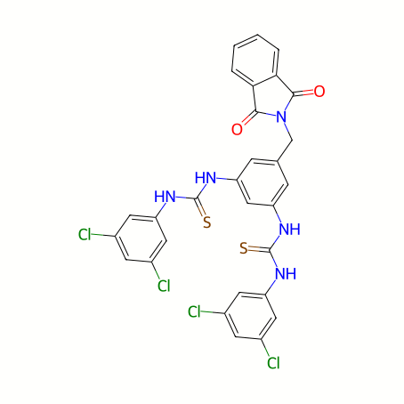 O=C1c2ccccc2C(=O)N1Cc1cc(NC(=S)Nc2cc(Cl)cc(Cl)c2)cc(NC(=S)Nc2cc(Cl)cc(Cl)c2)c1